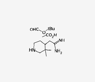 CC(=O)O.CC(C)(C)OC=O.CC1(C)CNCCC1CC(=N)N